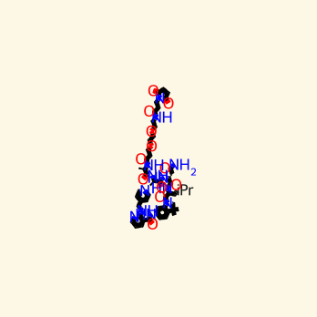 CC(C)CC(NC(=O)[C@@H](CC(N)=O)NC(=O)[C@@H](C)NC(=O)[C@@H](C)NC(=O)CCOCCOCCNC(=O)CCN1C(=O)C=CC1=O)C(=O)N1CC(C)(C)c2ccc(NC(=O)c3cccnc3NCc3ccncc3)cc21